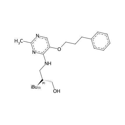 CC[C@H](C)[C@@H](CO)CNc1nc(C)ncc1OCCCc1ccccc1